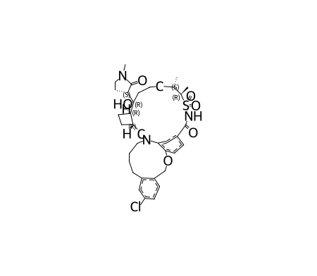 C[C@@H]1[C@@H](C)CCC[C@](O)([C@@H]2CCN(C)C2=O)[C@@H]2CC[C@H]2CN2CCCCc3cc(Cl)ccc3COc3ccc(cc32)C(=O)NS1(=O)=O